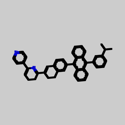 CC(C)c1cccc(-c2c3ccccc3c(-c3ccc4c(c3)CCC(C3=NC(c5ccncc5)=CCC3)=C4)c3ccccc23)c1